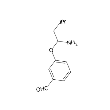 CC(C)CC(N)Oc1cccc(C=O)c1